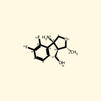 C[C@H]1OC[C@@](N)(c2cccc(F)c2F)[C@@H]1CO